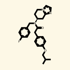 CC(C)COc1ccc(CC(=O)N(Cc2ccc(F)cc2)[C@H]2CCn3ccnc3C2)cc1